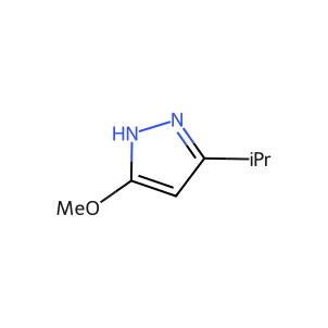 COc1cc(C(C)C)n[nH]1